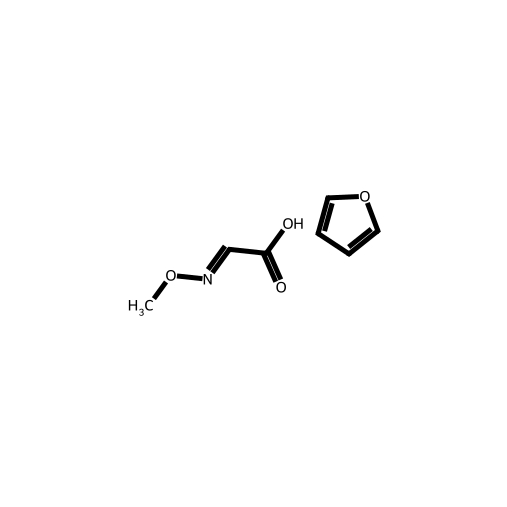 CON=CC(=O)O.c1ccoc1